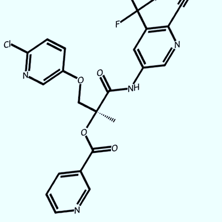 C[C@@](COc1ccc(Cl)nc1)(OC(=O)c1cccnc1)C(=O)Nc1cnc(C#N)c(C(F)(F)F)c1